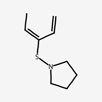 C=C/C(=C\C)SN1CCCC1